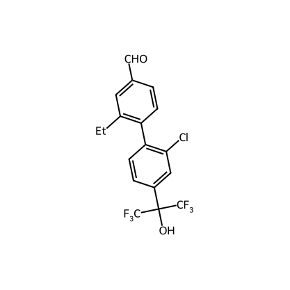 CCc1cc(C=O)ccc1-c1ccc(C(O)(C(F)(F)F)C(F)(F)F)cc1Cl